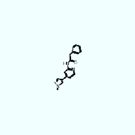 Cn1cc(-c2ccnc(NC(=O)Cc3ccccc3)c2)cn1